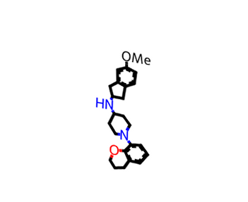 COc1ccc2c(c1)CC(NC1CCN(c3cccc4c3OCCC4)CC1)C2